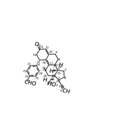 C#C[C@]1(O)CC[C@H]2[C@@H]3CCC4=CC(=O)CCC4=C3[C@@H](c3cccc(C=O)c3)C[C@@]21C